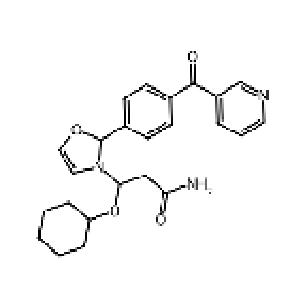 NC(=O)CC(OC1CCCCC1)N1C=COC1c1ccc(C(=O)c2cccnc2)cc1